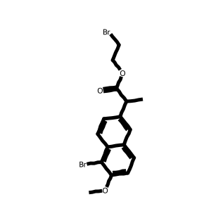 COc1ccc2cc(C(C)C(=O)OCCBr)ccc2c1Br